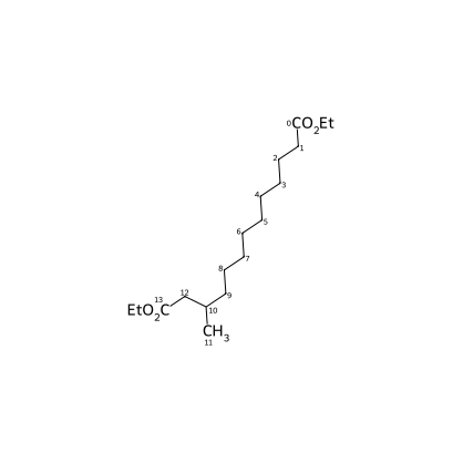 CCOC(=O)CCCCCCCCCC(C)CC(=O)OCC